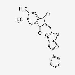 Cc1cc2c(cc1C)C(=O)C(=Cc1nc3oc(-c4ccccc4)cc3o1)C2=O